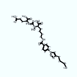 O=C(O)CCC(NC(=O)N(O)C(CCCCNC(=O)c1ccc(-n2cc(CCCF)nn2)cc1)C(=O)O)C(=O)O